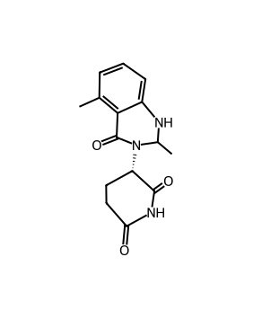 Cc1cccc2c1C(=O)N([C@H]1CCC(=O)NC1=O)C(C)N2